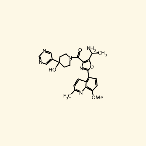 COc1ccc(-c2nc(C(=O)N3CCC(O)(c4cncnc4)CC3)c([C@H](C)N)o2)c2ccc(C(F)(F)F)nc12